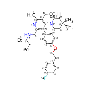 CCC(CC(C)C)NCc1nc(C)c(CC(=O)O)c(N2CCC(C)(C)CC2)c1-c1ccc(OCCc2ccc(F)cc2)cc1